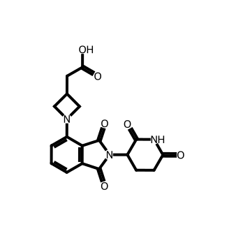 O=C(O)CC1CN(c2cccc3c2C(=O)N(C2CCC(=O)NC2=O)C3=O)C1